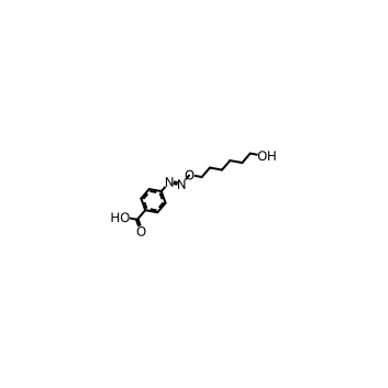 O=C(O)c1ccc(N=NOCCCCCCO)cc1